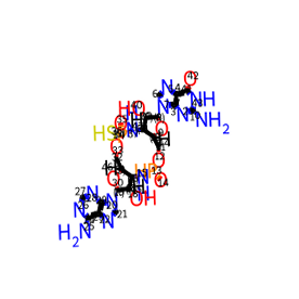 Nc1nc2c(ncn2[C@@H]2O[C@@H]3CO[PH](=O)N[C@H]4[C@@H](O)[C@H](n5cnc6c(N)ncnc65)O[C@@H]4CO[P@](=O)(S)N[C@H]3[C@H]2O)c(=O)[nH]1